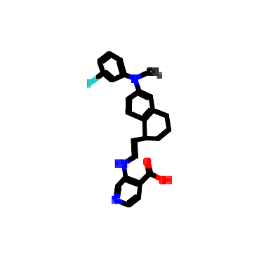 CN(c1cccc(F)c1)c1ccc2c(c1)CCCC2/C=C/Nc1cnccc1C(=O)O